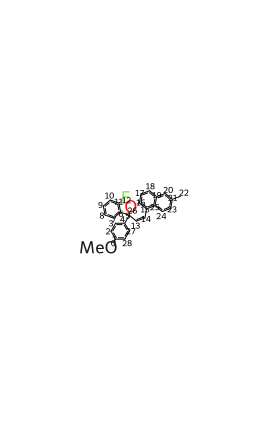 COc1ccc(C2(c3ccccc3F)C=Cc3c(ccc4cc(C)ccc34)O2)cc1